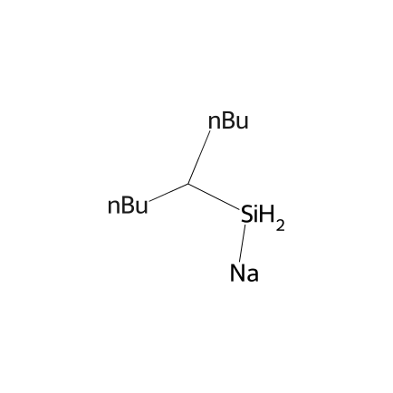 CCCCC(CCCC)[SiH2][Na]